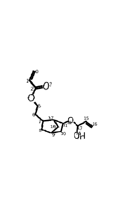 C=CC(=O)OCCC1CC2CC(OC(O)C=C)C1C2